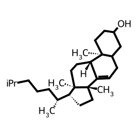 CC(C)CCC[C@@H](C)[C@H]1CC[C@@]2(C)C3=CCC4CC(O)CC[C@]4(C)[C@H]3CC[C@]12C